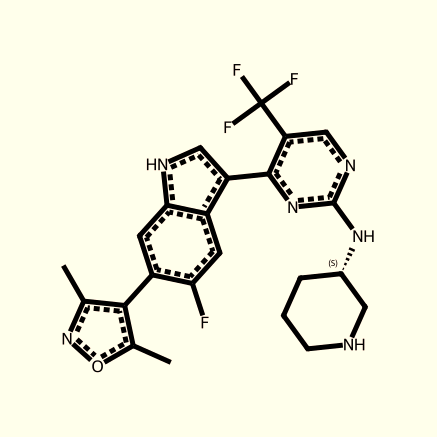 Cc1noc(C)c1-c1cc2[nH]cc(-c3nc(N[C@H]4CCCNC4)ncc3C(F)(F)F)c2cc1F